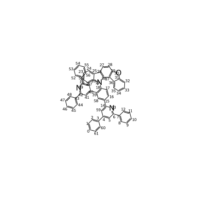 c1ccc(-c2cc(-c3ccccc3)nc(-c3ccc(-n4c5ccccc5c5ccc6oc7ccccc7c6c54)c(-c4cc(-c5ccccc5)nc(-c5ccccc5)c4)c3)c2)cc1